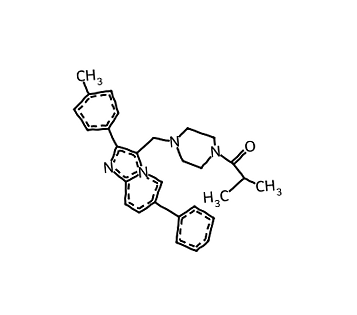 Cc1ccc(-c2nc3ccc(-c4ccccc4)cn3c2CN2CCN(C(=O)C(C)C)CC2)cc1